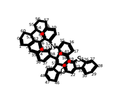 C1=Cc2cccc(-c3ccccc3N(c3cccc(-c4cccc5c4sc4ccccc45)c3)c3ccccc3-c3cccc4oc5ccccc5c34)c2C(C2CCCCC2)C1